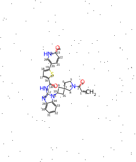 C=CC(=O)N1CC[C@]2(C1)C[C@H](n1c(NC(=O)c3ccc(-c4ccc(=O)[nH]c4)s3)nc3ccccc31)C2